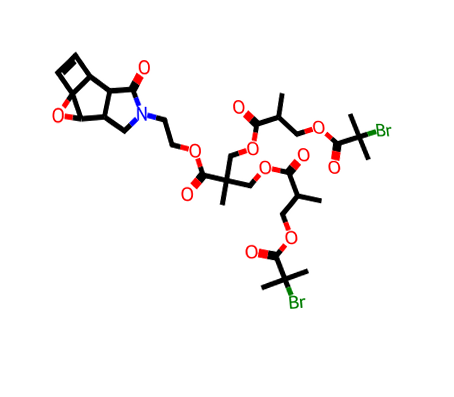 CC(COC(=O)C(C)(C)Br)C(=O)OCC(C)(COC(=O)C(C)COC(=O)C(C)(C)Br)C(=O)OCCN1CC2C(C1=O)C1C=CC13OC23